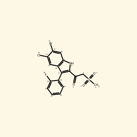 CS(=O)(=O)CC(=O)c1[nH]c2cc(Br)c(Cl)cc2c1-c1ccccc1F